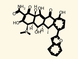 C[C@H]1c2c(-c3cc4ccccc4o3)ccc(O)c2C(=O)C2=C(O)[C@@]3(O)C(=O)C(C(N)=O)=C(O)[C@H](N(C)C)[C@@H]3[C@@H](O)[C@@H]21